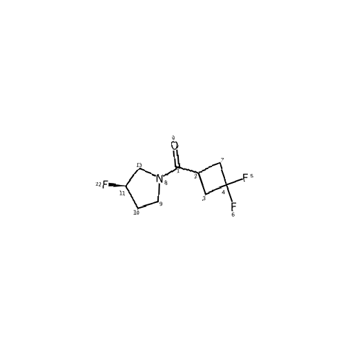 O=C(C1CC(F)(F)C1)N1CC[C@@H](F)C1